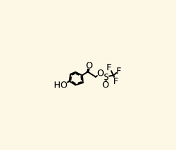 O=C(COS(=O)C(F)(F)F)c1ccc(O)cc1